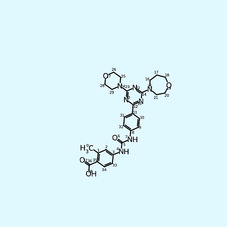 Cc1cc(NC(=O)Nc2ccc(-c3nc(N4CCCOCC4)nc(N4CCOCC4)n3)cc2)ccc1C(=O)O